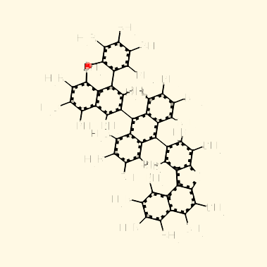 Bc1c(B)c(B)c(-c2c(B)c(-c3c4c(B)c(B)c(B)c(B)c4c(-c4c(B)c(B)c5oc6c(B)c(B)c7c(B)c(B)c(B)c(B)c7c6c5c4B)c4c(B)c(B)c(B)c(B)c34)c(B)c3c(B)c(B)c(B)c(B)c23)c(B)c1B